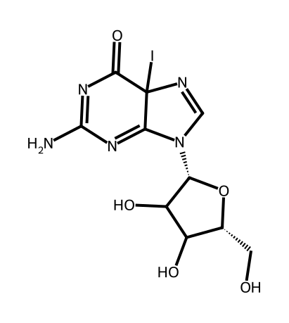 NC1=NC(=O)C2(I)N=CN([C@@H]3O[C@H](CO)C(O)C3O)C2=N1